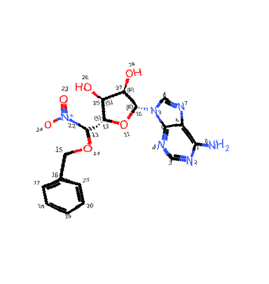 Nc1ncnc2c1ncn2[C@@H]1O[C@H](C(OCc2ccccc2)[N+](=O)[O-])[C@@H](O)[C@H]1O